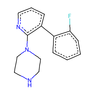 Fc1ccccc1-c1cccnc1N1CCNCC1